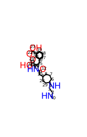 CNCCNC1CCCC(CC(=O)N[C@H]2Cc3cccc(C(=O)O)c3OB2O)CC1